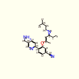 CCC(/C=C(\C)Oc1cc(C#N)ccc1-c1ccc(CN)cn1)=N/CCC(C)C